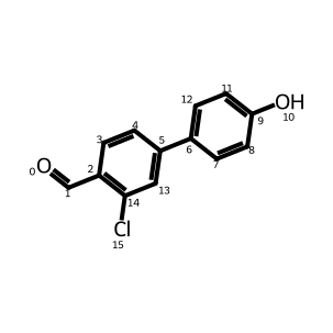 O=Cc1ccc(-c2ccc(O)cc2)cc1Cl